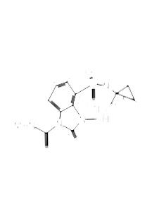 CNC(=O)n1c(=O)n(C)c2c(S(=O)(=O)NC3(C)CC3)cccc21